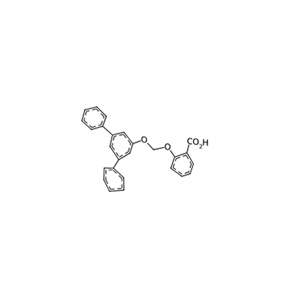 O=C(O)c1ccccc1OCOc1cc(-c2ccccc2)cc(-c2ccccc2)c1